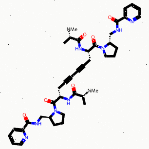 CN[C@@H](C)C(=O)N[C@@H](CC#CC#CC[C@H](NC(=O)[C@H](C)NC)C(=O)N1CCC[C@H]1CNC(=O)c1ccccn1)C(=O)N1CCC[C@H]1CNC(=O)c1ccccn1